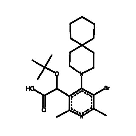 Cc1nc(C)c(C(OC(C)(C)C)C(=O)O)c(N2CCC3(CCCCC3)CC2)c1Br